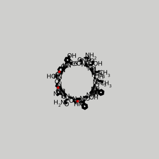 CCCC[C@H]1C(O)N(C)[C@@H](CCCC)C(=O)N[C@@H](CCC(=O)O)C(=O)N[C@H](C(=O)NCC(N)=O)CSCC(=O)N[C@@H](Cc2ccc(O)cc2)C(=O)N2CCCC[C@H]2C(=O)N[C@@H](CC(=O)O)C(=O)N2CCC[C@H]2C(=O)N[C@@H](Cc2cnc[nH]2)C(=O)N[C@@H](CCC(N)=O)C(=O)N2CCC[C@H]2C(=O)N[C@@H](Cc2c[nH]c3ccccc23)C(=O)N[C@@H](CO)C(=O)N[C@@H](Cc2c[nH]c3ccccc23)C(=O)N1C